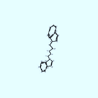 [C]1=Cc2ccccc2C1CCCCCC1[C]=Cc2ccccc21